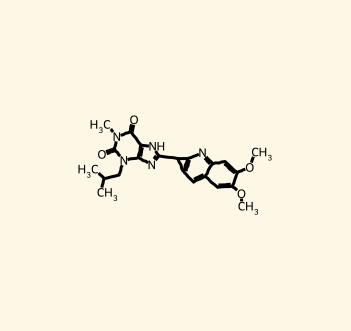 COc1cc2cc3c(nc2cc1OC)C3c1nc2c([nH]1)c(=O)n(C)c(=O)n2CC(C)C